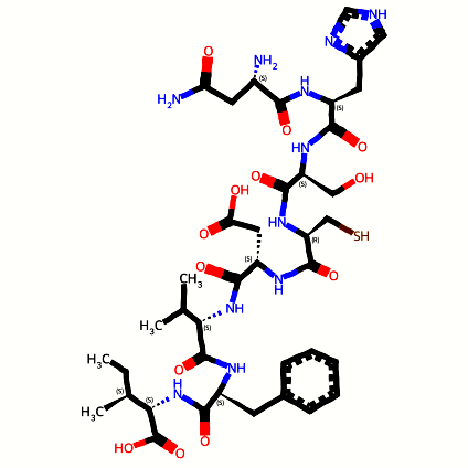 CC[C@H](C)[C@H](NC(=O)[C@H](Cc1ccccc1)NC(=O)[C@@H](NC(=O)[C@H](CC(=O)O)NC(=O)[C@H](CS)NC(=O)[C@H](CO)NC(=O)[C@H](Cc1c[nH]cn1)NC(=O)[C@@H](N)CC(N)=O)C(C)C)C(=O)O